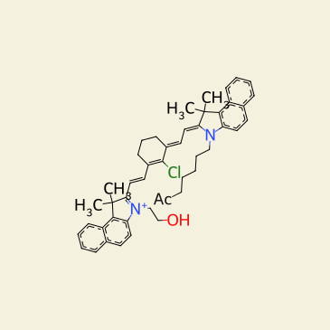 CC(=O)CCCCCN1/C(=C\C=C2/CCCC(/C=C/C3=[N+](CCO)c4ccc5ccccc5c4C3(C)C)=C2Cl)C(C)(C)c2c1ccc1ccccc21